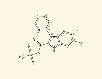 CS(=O)(=O)CC(=O)c1[nH]c2cc(Br)c(Cl)cc2c1-c1cnccn1